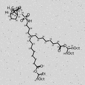 CCCCCCCCC(CC)OC(=O)CCCCCCCN(CCCCCCCC(=O)OC(CCCCCCCC)CCCCCCCC)CCCNS(=O)(=O)C[C@@]12CC[C@@H](CC1=O)C2(C)C